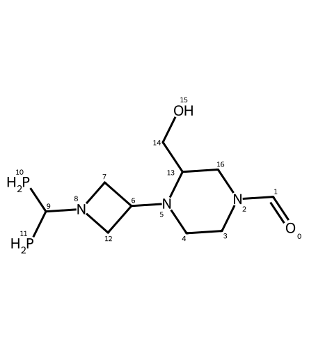 O=CN1CCN(C2CN(C(P)P)C2)C(CO)C1